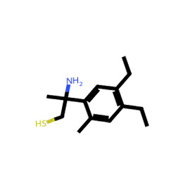 CCc1cc(C)c(C(C)(N)CS)cc1CC